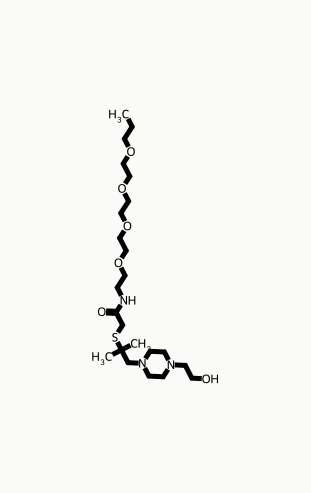 CCCOCCOCCOCCOCCNC(=O)CSC(C)(C)CN1CCN(CCO)CC1